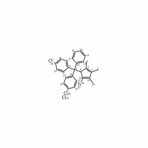 CC1=C(C)C(C(c2ccccc2)(c2ccccc2)c2ccccc2)[C]([Ti+3])=C1C.[Cl-].[Cl-].[Cl-]